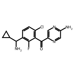 Nc1cnc(C(=O)c2c(Cl)ccc(C(N)C3CC3)c2F)cn1